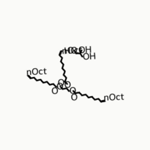 CCCCCCCC/C=C\CCCCCCCC(=O)OCC(COC(=O)CCCCCCC/C=C\CCCCCCCC)OC(=O)CCCCCCC/C=C\CCCCCCCC.OCC(O)CO